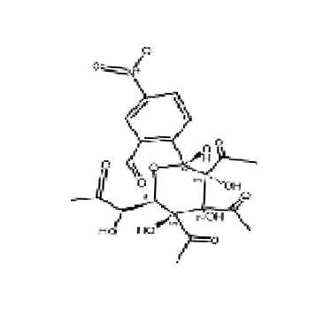 CC(=O)C(O)[C@H]1O[C@](O)(c2ccc([N+](=O)[O-])cc2C=O)[C@@](O)(C(C)=O)[C@](O)(C(C)=O)[C@]1(O)C(C)=O